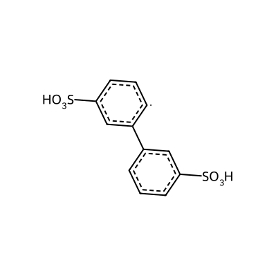 O=S(=O)(O)c1cc[c]c(-c2cccc(S(=O)(=O)O)c2)c1